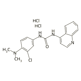 CN(C)c1ccc(NC(=O)Nc2ccnc3ccccc23)cc1Cl.Cl.Cl